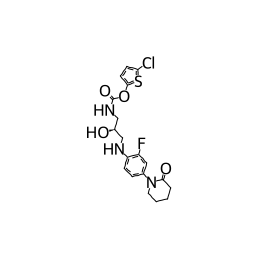 O=C(NC[C@H](O)CNc1ccc(N2CCCCC2=O)cc1F)Oc1ccc(Cl)s1